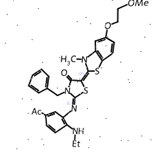 CCNc1ccc(C(C)=O)cc1/N=C1/S/C(=C2\Sc3ccc(OCCOC)cc3N2C)C(=O)N1Cc1ccccc1